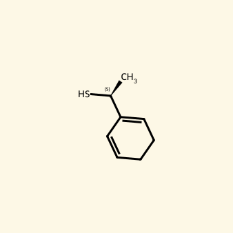 C[C@H](S)C1=CCCC=C1